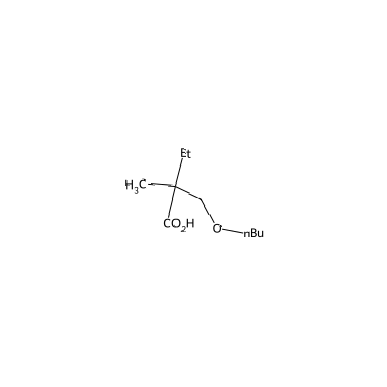 CCCCOCC(C)(CC)C(=O)O